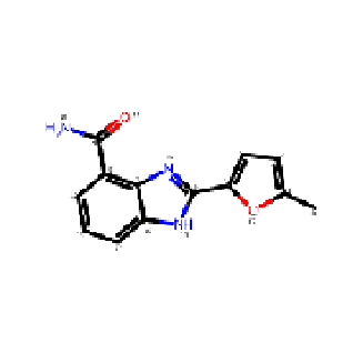 Cc1ccc(-c2nc3c(C(N)=O)cccc3[nH]2)o1